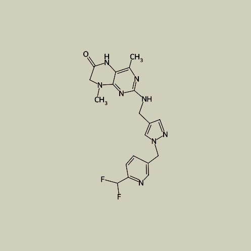 Cc1nc(NCc2cnn(Cc3ccc(C(F)F)nc3)c2)nc2c1NC(=O)CN2C